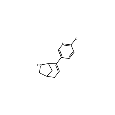 Clc1ccc(C2=CCC3CNC2C3)cn1